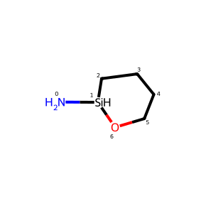 N[SiH]1CCCCO1